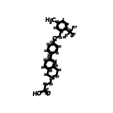 Cc1ccc(C(F)(F)F)c(COc2ccc(-c3ccc4c(n3)CCN(CCC(=O)O)C4)cc2)c1